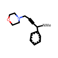 CNC(C#CCN1CCOCC1)c1ccccc1